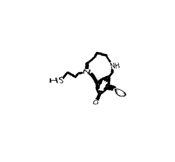 O=c1c2c(c1=O)N(CCS)CCCN2